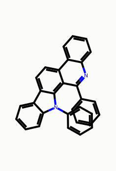 c1ccc(-c2nc3ccccc3c3ccc4c5ccccc5n(-c5ccccc5)c4c23)cc1